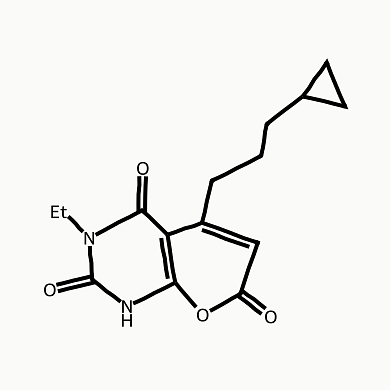 CCn1c(=O)[nH]c2oc(=O)cc(CCCC3CC3)c2c1=O